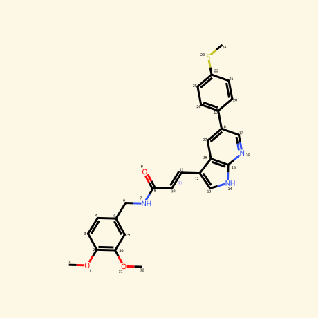 COc1ccc(CNC(=O)/C=C/c2c[nH]c3ncc(-c4ccc(SC)cc4)cc23)cc1OC